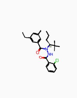 CCC[C@H](N(NC(=O)c1ccccc1Cl)C(=O)c1cc(C)cc(CC)c1)C(C)(C)C